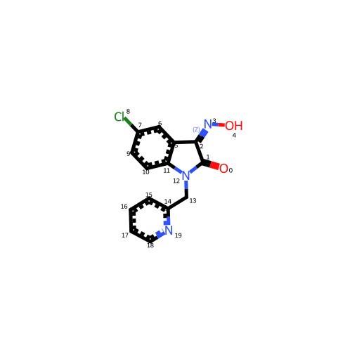 O=C1/C(=N\O)c2cc(Cl)ccc2N1Cc1ccccn1